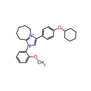 COc1ccccc1-n1cc(-c2ccc(OC3CCCCC3)cc2)[n+]2c1CCCCC2